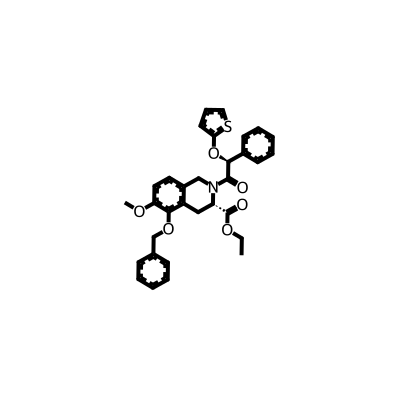 CCOC(=O)[C@@H]1Cc2c(ccc(OC)c2OCc2ccccc2)CN1C(=O)[C@@H](Oc1cccs1)c1ccccc1